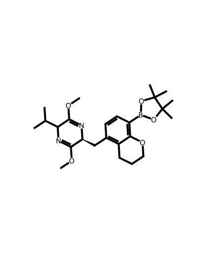 COC1=N[C@@H](Cc2ccc(B3OC(C)(C)C(C)(C)O3)c3c2CCCO3)C(OC)=NC1C(C)C